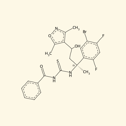 Cc1noc(C)c1C(O)C[C@](C)(NC(=S)NC(=O)c1ccccc1)c1cc(Br)c(F)cc1F